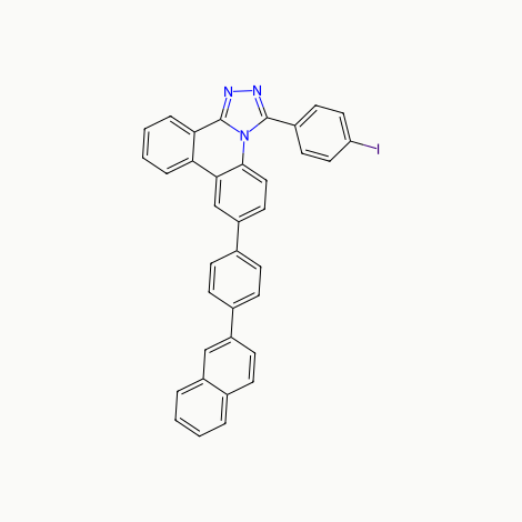 Ic1ccc(-c2nnc3c4ccccc4c4cc(-c5ccc(-c6ccc7ccccc7c6)cc5)ccc4n23)cc1